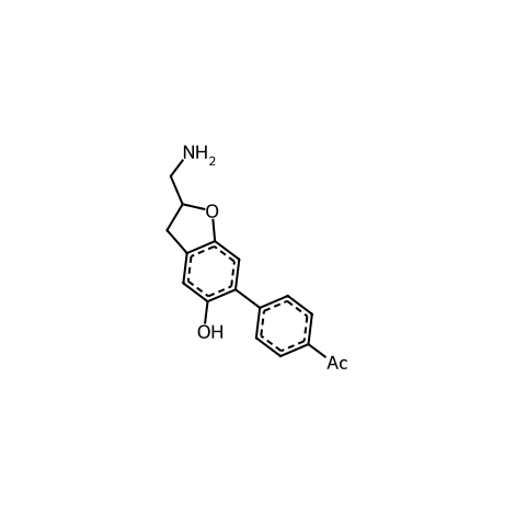 CC(=O)c1ccc(-c2cc3c(cc2O)CC(CN)O3)cc1